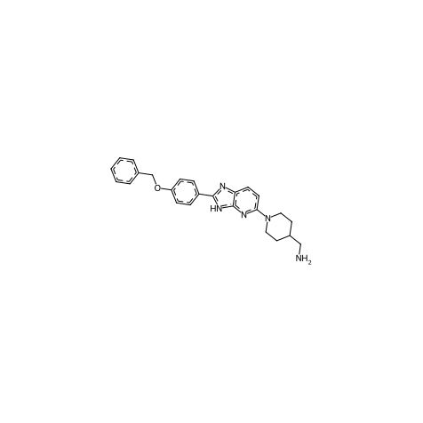 NCC1CCN(c2ccc3nc(-c4ccc(OCc5ccccc5)cc4)[nH]c3n2)CC1